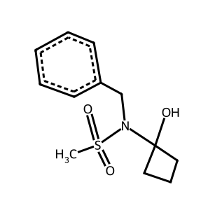 CS(=O)(=O)N(Cc1ccccc1)C1(O)CCC1